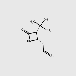 C=CC[C@@H]1NC(=O)[C@@H]1C(C)(C)O